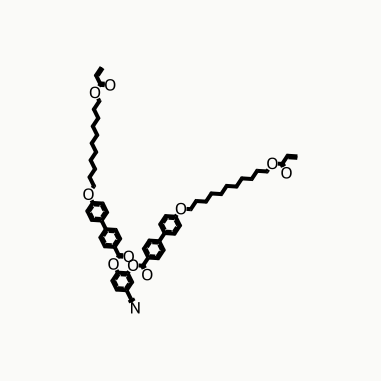 C=CC(=O)OCCCCCCCCCCCOc1ccc(-c2ccc(C(=O)Oc3ccc(C#N)cc3OC(=O)c3ccc(-c4ccc(OCCCCCCCCCCCOC(=O)C=C)cc4)cc3)cc2)cc1